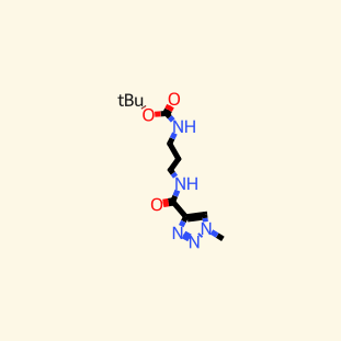 Cn1cc(C(=O)NCCCNC(=O)OC(C)(C)C)nn1